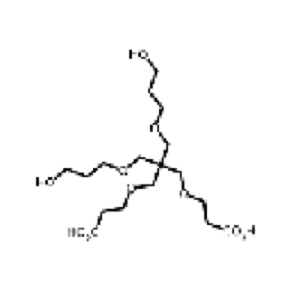 O=C(O)CCOCC(COCCCO)(COCCCO)COCCC(=O)O